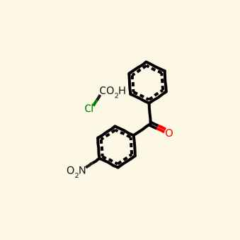 O=C(O)Cl.O=C(c1ccccc1)c1ccc([N+](=O)[O-])cc1